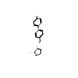 CC(=O)c1ccc(-c2ccc(CO[C@H]3CCC[C@@H]3N)cc2)cc1